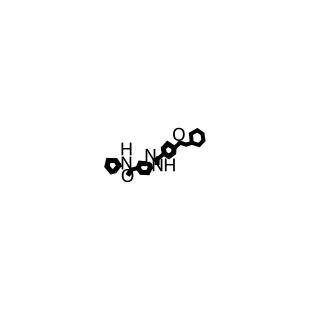 O=C(CC1CCCCC1)c1ccc(-c2nc3cc(C(=O)Nc4ccccc4)ccc3[nH]2)cc1